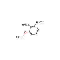 CCCCCCc1c(CCCCC)cccc1OC(=O)O